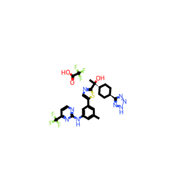 Cc1cc(Nc2nccc(C(F)(F)F)n2)cc(-c2cnc(C(C)(O)[C@H]3CC[C@H](c4nn[nH]n4)CC3)s2)c1.O=C(O)C(F)(F)F